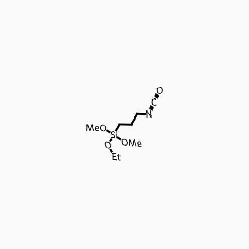 CCO[Si](CCCN=C=O)(OC)OC